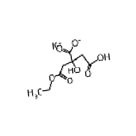 CCOC(=O)CC(O)(CC(=O)O)C(=O)[O-].[K+]